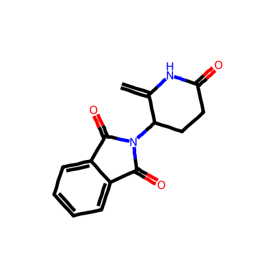 C=C1NC(=O)CCC1N1C(=O)c2ccccc2C1=O